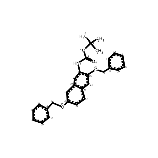 CC(C)(C)OC(=O)Nc1cc2cc(OCc3ccccc3)ccc2cc1OCc1ccccc1